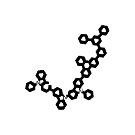 C=C(/C=C\c1c(C)c2ccccc2n1-c1ccccc1)c1ccc2c(c1)c1ccccc1n2-c1ccc2c(c1)c1ccc(-c3ccc4c5ccc(-c6cccc(-c7cc(-c8ccccc8)cc(-c8ccccc8)c7)c6)cc5c5ccccc5c4c3)cc1n2-c1ccccc1